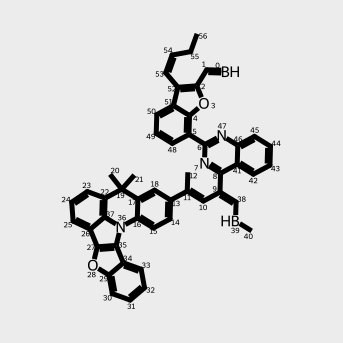 B=Cc1oc2c(-c3nc(C(/C=C(\C)c4ccc5c(c4)C(C)(C)c4cccc6c7oc8ccccc8c7n-5c46)=C/BC)c4ccccc4n3)cccc2c1/C=C\CC